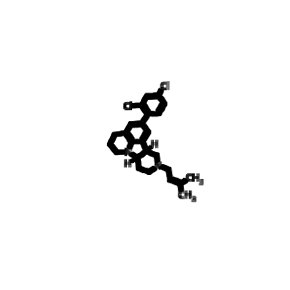 CC(C)=CCN1CC[C@H]2[C@@H](C1)c1cc(-c3ccc(Cl)cc3Cl)cc3c1N2CCC3